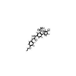 CCOc1ccc(CC(=O)Nc2ccc(-n3cc(Cl)cn3)c(S(N)(=O)=O)c2)cc1